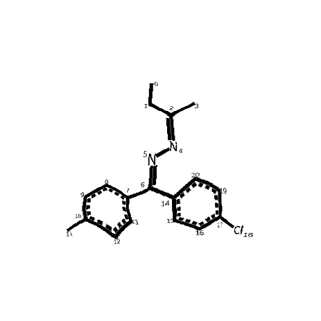 CCC(C)=NN=C(c1ccc(C)cc1)c1ccc(Cl)cc1